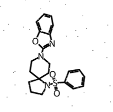 O=S(=O)(c1ccccc1)N1CCCC12CCN(c1nc3ccccc3o1)CC2